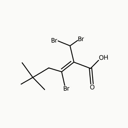 CC(C)(C)CC(Br)=C(C(=O)O)C(Br)Br